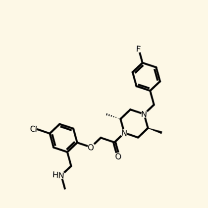 CNCc1cc(Cl)ccc1OCC(=O)N1C[C@H](C)N(Cc2ccc(F)cc2)C[C@H]1C